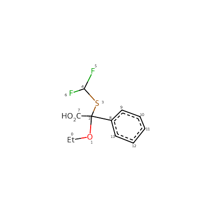 CCOC(SC(F)F)(C(=O)O)c1ccccc1